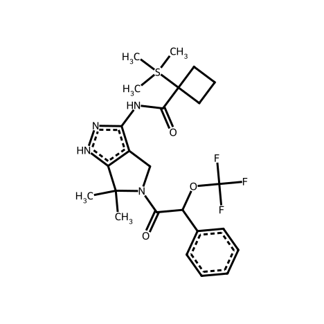 CC1(C)c2[nH]nc(NC(=O)C3(S(C)(C)C)CCC3)c2CN1C(=O)C(OC(F)(F)F)c1ccccc1